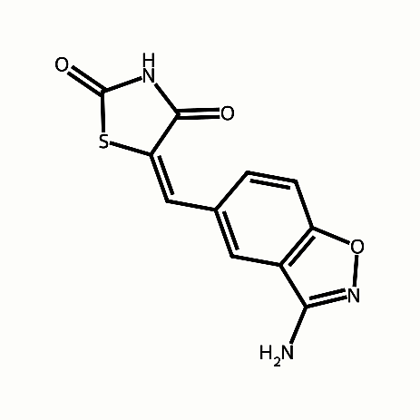 Nc1noc2ccc(/C=C3/SC(=O)NC3=O)cc12